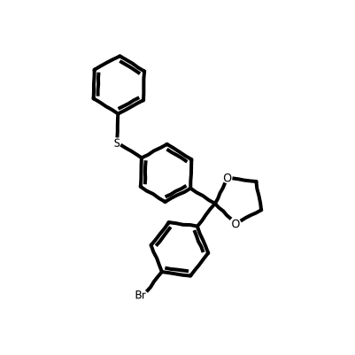 Brc1ccc(C2(c3ccc(Sc4ccccc4)cc3)OCCO2)cc1